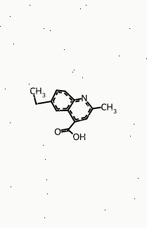 CCc1ccc2nc(C)cc(C(=O)O)c2c1